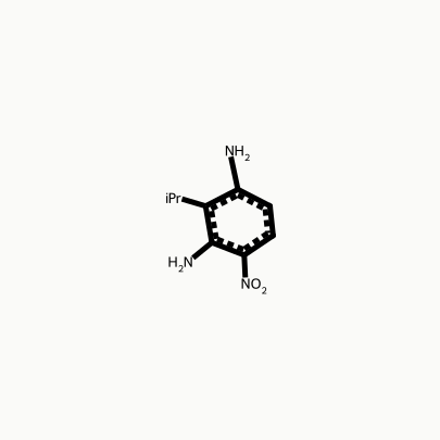 CC(C)c1c(N)ccc([N+](=O)[O-])c1N